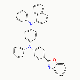 c1ccc(N(c2ccc(-c3nc4ccccc4o3)cc2)c2ccc(N(c3ccccc3)c3cccc4ccccc34)cc2)cc1